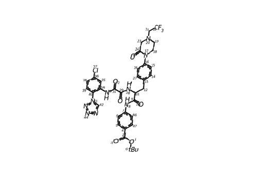 CC(C)(C)OC(=O)c1ccc(NC(=O)C(Cc2ccc(N3CCN(CC(F)(F)F)CC3=O)cc2)NC(=O)C(=O)Nc2cc(Cl)ccc2-n2cnnn2)cc1